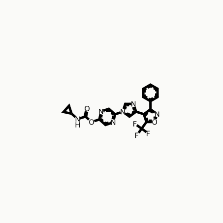 O=C(NC1CC1)Oc1cnc(-n2cnc(-c3c(-c4ccccc4)noc3C(F)(F)F)c2)cn1